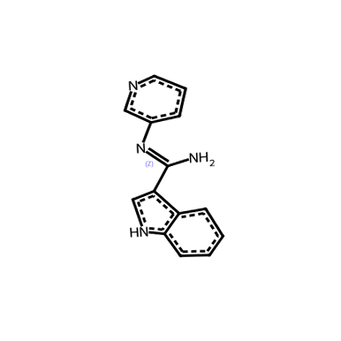 N/C(=N\c1cccnc1)c1c[nH]c2ccccc12